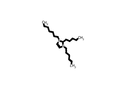 CCCCCCCN1C=CN(CCCCCC)C1CCCCC